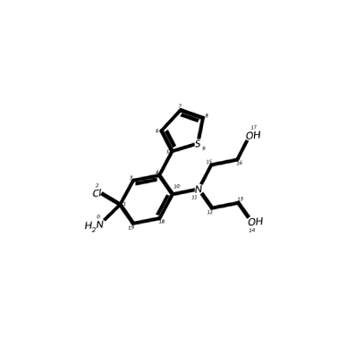 NC1(Cl)C=C(c2cccs2)C(N(CCO)CCO)=CC1